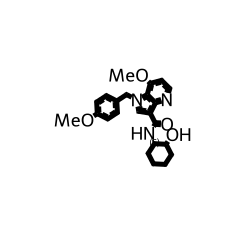 COc1ccc(Cn2cc(C(=O)N[C@H]3CCCCC3O)c3nccc(OC)c32)cc1